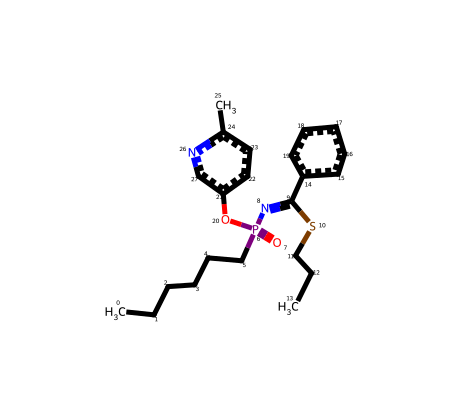 CCCCCCP(=O)(N=C(SCCC)c1ccccc1)Oc1ccc(C)nc1